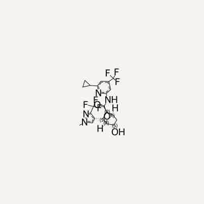 Cn1cc([C@H]2[C@H]3O[C@H](C[C@@H]3O)[C@@H]2C(=O)Nc2cc(C(F)(F)F)cc(C3CC3)n2)c(C(F)(F)F)n1